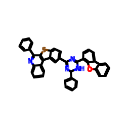 c1ccc(-c2nc3ccccc3c3c2sc2ccc(C4=NC(c5ccccc5)NC(c5cccc6c5oc5ccccc56)=N4)cc23)cc1